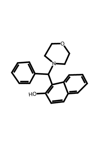 Oc1ccc2ccccc2c1C(c1ccccc1)N1CCOCC1